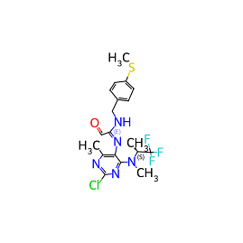 CSc1ccc(CN/C(C=O)=N/c2c(C)nc(Cl)nc2N(C)[C@@H](C)C(F)(F)F)cc1